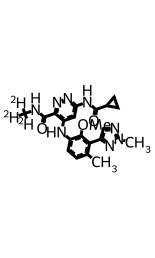 [2H]C([2H])([2H])NC(=O)c1nnc(NC(=O)C2CC2)cc1Nc1ccc(C)c(-c2cnn(C)n2)c1OC